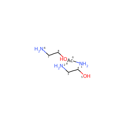 CC(N)=O.NCCO.NCCO